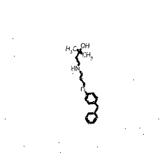 CC(C)(O)CCNCCCOc1ccc(Cc2ccccc2)cc1